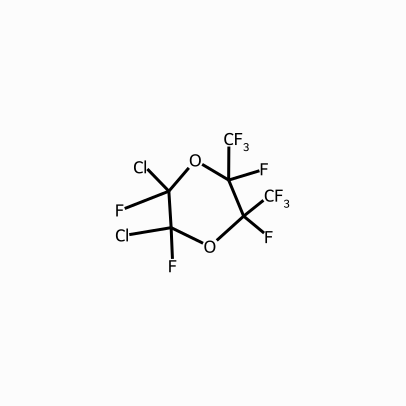 FC(F)(F)C1(F)OC(F)(Cl)C(F)(Cl)OC1(F)C(F)(F)F